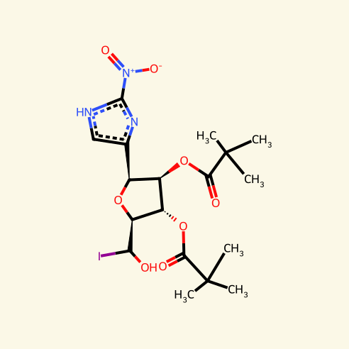 CC(C)(C)C(=O)O[C@H]1[C@H](OC(=O)C(C)(C)C)[C@H](c2c[nH]c([N+](=O)[O-])n2)O[C@@H]1C(O)I